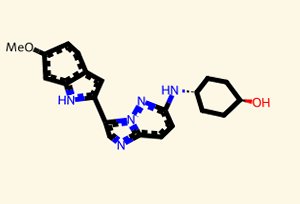 COc1ccc2cc(-c3cnc4ccc(N[C@H]5CC[C@H](O)CC5)nn34)[nH]c2c1